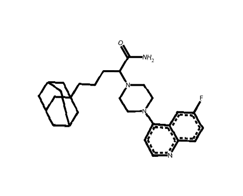 NC(=O)C(CCCC12CC3CC(CC(C3)C1)C2)N1CCN(c2ccnc3ccc(F)cc23)CC1